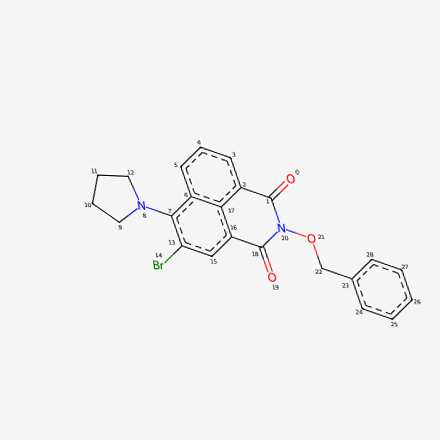 O=C1c2cccc3c(N4CCCC4)c(Br)cc(c23)C(=O)N1OCc1ccccc1